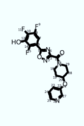 O=C(c1noc(-c2cc(F)c(F)c(O)c2F)n1)N1CCC(Oc2cccnc2)CC1